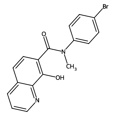 CN(C(=O)c1ccc2cccnc2c1O)c1ccc(Br)cc1